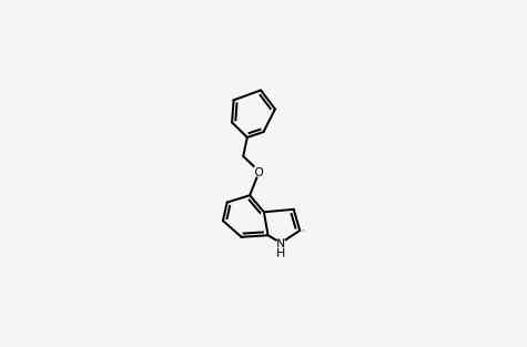 [c]1cc2c(OCc3ccccc3)cccc2[nH]1